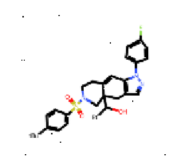 CCC(O)C12Cc3cnn(-c4ccc(F)cc4)c3C=C1CCN(S(=O)(=O)c1ccc(C(C)(C)C)cc1)C2